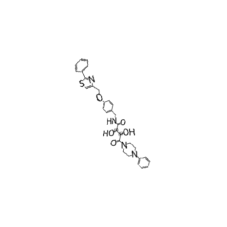 O=C(NCc1ccc(OCc2csc(-c3ccccc3)n2)cc1)[C@H](O)[C@@H](O)C(=O)N1CCN(c2ccccc2)CC1